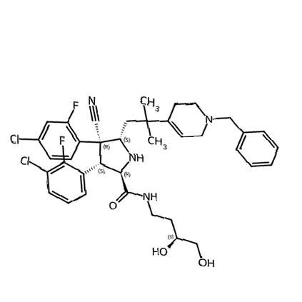 CC(C)(C[C@@H]1N[C@@H](C(=O)NCC[C@H](O)CO)[C@H](c2cccc(Cl)c2F)[C@@]1(C#N)c1ccc(Cl)cc1F)C1=CCN(Cc2ccccc2)CC1